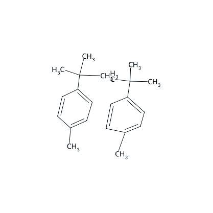 Cc1ccc(C(C)(C)C)cc1.Cc1ccc(C(C)(C)C)cc1